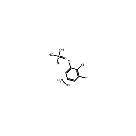 Clc1cccc(Cl)c1Cl.NN.O=P(O)(O)O